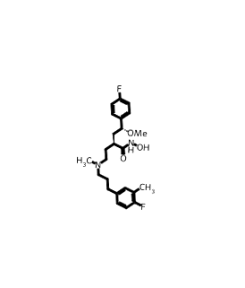 CO[C@H](C[C@H](CCN(C)CCCc1ccc(F)c(C)c1)C(=O)NO)c1ccc(F)cc1